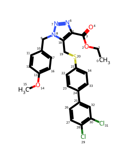 CCOC(=O)c1nnn(Cc2ccc(OC)cc2)c1CSc1ccc(-c2ccc(Cl)c(Cl)c2)cc1